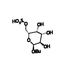 CC(C)CO[C@H]1O[C@H](COS(=O)(=O)O)[C@H](O)[C@H](O)[C@H]1O